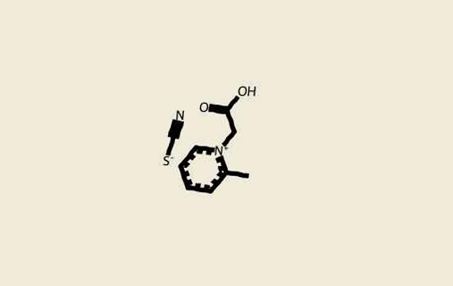 Cc1cccc[n+]1CC(=O)O.N#C[S-]